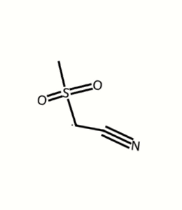 CS(=O)(=O)[CH]C#N